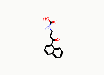 O=C(O)NCCC(=O)c1cccc2ccccc12